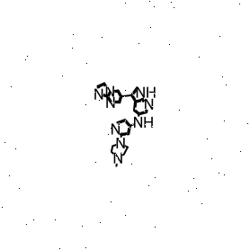 CN1CCN(c2cc(Nc3cnc4[nH]cc(-c5cnc6nccn6c5)c4c3)ccn2)CC1